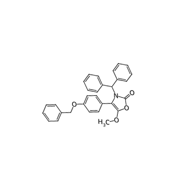 COc1oc(=O)n(C(c2ccccc2)c2ccccc2)c1-c1ccc(OCc2ccccc2)cc1